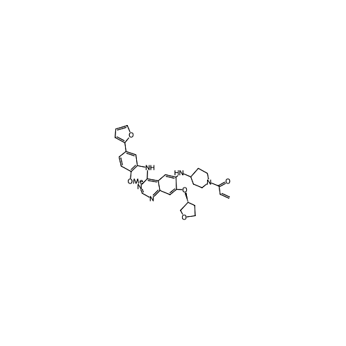 C=CC(=O)N1CCC(Nc2cc3c(Nc4cc(-c5ccco5)ccc4OC)ncnc3cc2O[C@H]2CCOC2)CC1